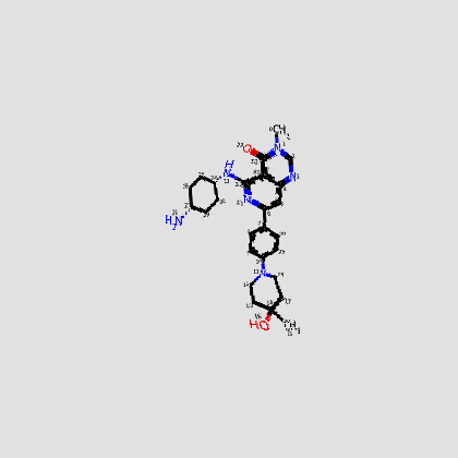 Cn1cnc2cc(-c3ccc(N4CCC(C)(O)CC4)cc3)nc(N[C@H]3CC[C@@H](N)CC3)c2c1=O